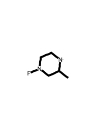 CC1CN(F)CC[N]1